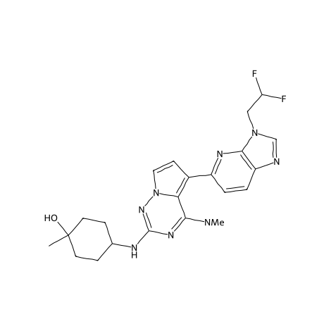 CNc1nc(NC2CCC(C)(O)CC2)nn2ccc(-c3ccc4ncn(CC(F)F)c4n3)c12